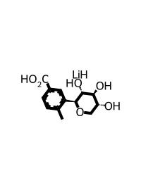 Cc1ccc(C(=O)O)cc1[C@@H]1OC[C@@H](O)[C@H](O)[C@H]1O.[LiH]